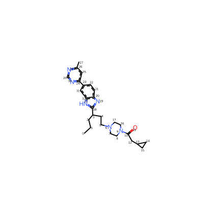 CCCC(CCN1CCN(C(=O)CC2CC2)CC1)c1nc2ccc(-c3cc(C)ncn3)cc2[nH]1